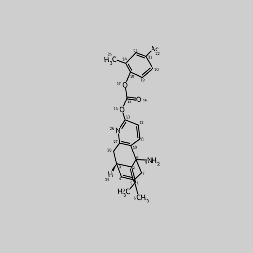 C/C=C1\[C@@H]2C=C(C)CC1(N)c1ccc(OC(=O)Oc3ccc(C(C)=O)cc3C)nc1C2